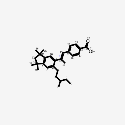 CCC(C)CCc1cc2c(cc1/C(C)=C/c1ccc(C(=O)O)cc1)C(C)(C)CC2(C)C